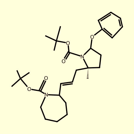 CC(C)(C)OC(=O)N1CCCCCC1/C=C/C[C@]1(C)CCC(Oc2ccccc2)N1C(=O)OC(C)(C)C